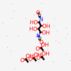 CC(=O)O.CC(=O)O.CC(=O)O.CC(=O)O.O=C=NC(O)C(O)C(O)C(O)N=C=O